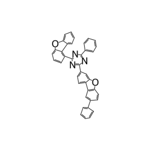 c1ccc(-c2ccc3oc4cc(-c5nc(-c6ccccc6)nc(-c6cccc7oc8ccccc8c67)n5)ccc4c3c2)cc1